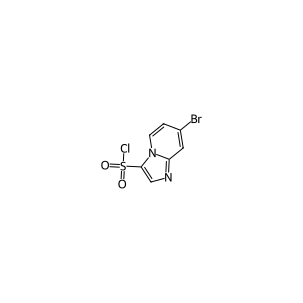 O=S(=O)(Cl)c1cnc2cc(Br)ccn12